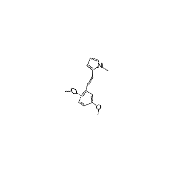 COc1ccc(OC)c(/C=C/c2cccn2C)c1